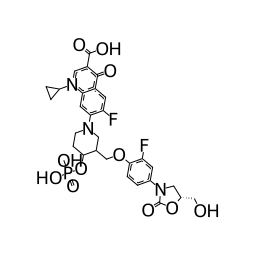 O=C(O)c1cn(C2CC2)c2cc(N3CCC(OP(=O)(O)O)C(COc4ccc(N5C[C@H](CO)OC5=O)cc4F)C3)c(F)cc2c1=O